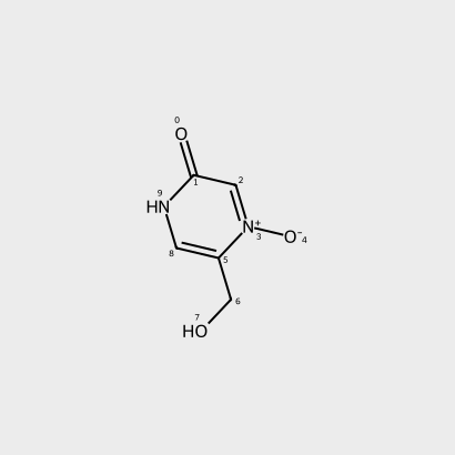 O=c1c[n+]([O-])c(CO)c[nH]1